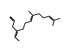 C=CC/C(=C/C)CC/C=C(\C)CCC=C(C)C